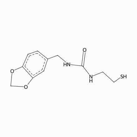 O=C(NCCS)NCc1ccc2c(c1)OCO2